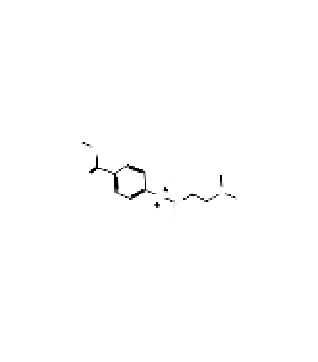 COC(=O)c1ccc(S(=O)(=O)NCCN(C)C)cc1